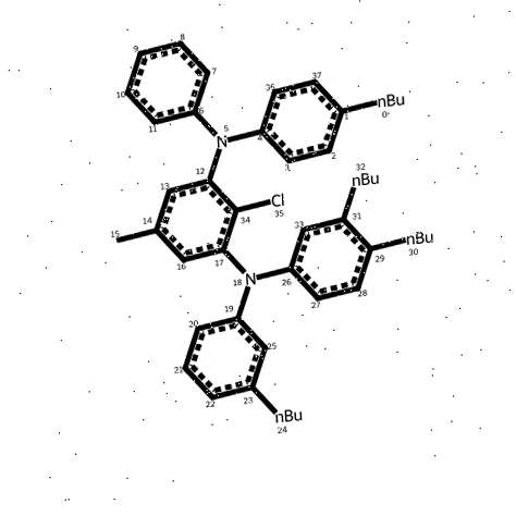 CCCCc1ccc(N(c2ccccc2)c2cc(C)cc(N(c3cccc(CCCC)c3)c3ccc(CCCC)c(CCCC)c3)c2Cl)cc1